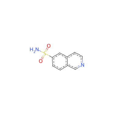 NS(=O)(=O)c1ccc2cnccc2c1